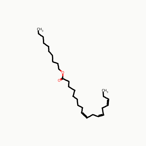 CC/C=C\C/C=C\C/C=C\CCCCCCCC(=O)OCCCCCCCCCC